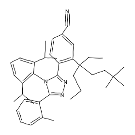 CCCC(CC)(CCC(C)(C)C)c1cc(C#N)ccc1-c1nnc(-c2ccccc2C)n1-c1c(C(C)C)cccc1C(C)C